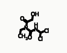 CCN(C(=O)CO)C(=O)NC(Cl)Cl